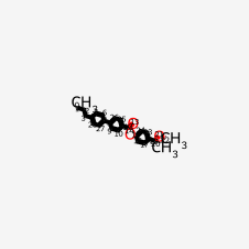 CCCCc1ccc(-c2ccc(C(=O)Oc3ccc(C(C)OC)cc3)cc2)cc1